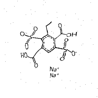 CCc1c(C(=O)O)c(S(=O)(=O)[O-])cc(C(=O)O)c1S(=O)(=O)[O-].[Na+].[Na+]